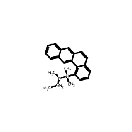 C[SiH2]N(C)[Si](C)(C)c1cccc2ccc3cc4ccccc4cc3c12